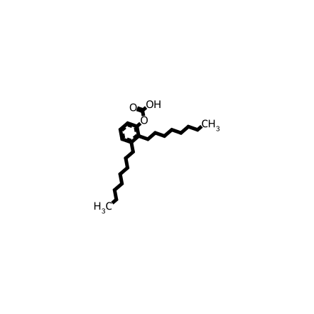 CCCCCCCCc1cccc(OC(=O)O)c1CCCCCCCC